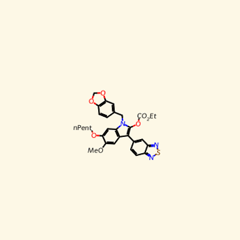 CCCCCOc1cc2c(cc1OC)c(-c1ccc3nsnc3c1)c(OC(=O)OCC)n2Cc1ccc2c(c1)OCO2